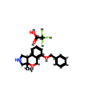 CC12CNCC1c1cccc(OCc3ccccc3)c1CO2.O=C(O)C(F)(F)F